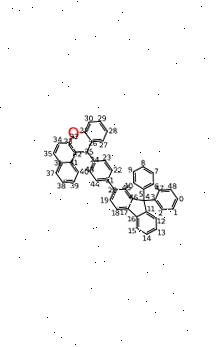 c1ccc(C2(c3ccccc3)c3ccccc3-c3ccc(-c4ccc(C5c6ccccc6Oc6ccc7ccccc7c65)cc4)cc32)cc1